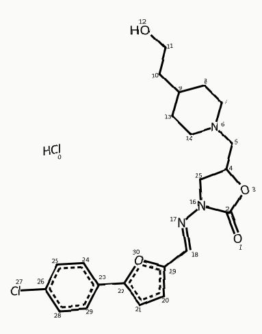 Cl.O=C1OC(CN2CCC(CCO)CC2)CN1/N=C/c1ccc(-c2ccc(Cl)cc2)o1